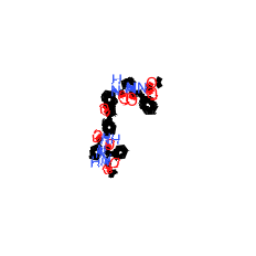 CC(C)OC(=O)N[C@@H](C(=O)N1CCC[C@H]1C(=O)Nc1ccc(-c2cc3cc(NC(=O)[C@@H]4CCCN4C(=O)[C@H](NC(=O)OC(C)C)c4ccccc4)ccc3o2)cc1)c1ccccc1